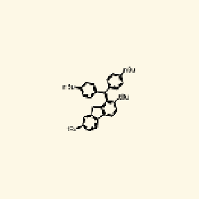 CCCCc1ccc(C(c2ccc(CCCC)cc2)=c2c(C(C)(C)C)ccc3c2=[C]c2cc(C(C)(C)C)ccc2-3)cc1